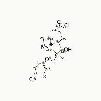 CC(C)(COc1ccc(Cl)cc1)C(O)C(CC1CC1(Cl)Cl)n1cncn1